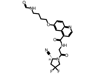 N#C[C@H]1CC(F)(F)CN1C(=O)CNC(=O)c1ccnc2ccc(OCCCCNC=O)cc12